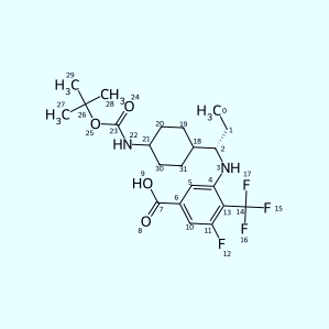 CC[C@H](Nc1cc(C(=O)O)cc(F)c1C(F)(F)F)C1CCC(NC(=O)OC(C)(C)C)CC1